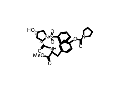 COC(=O)C(Cc1ccc(OC(=O)N2CCCC2)cc1)NC(=O)[C@@H]1C[C@H](O)CN1S(=O)(=O)c1ccccc1